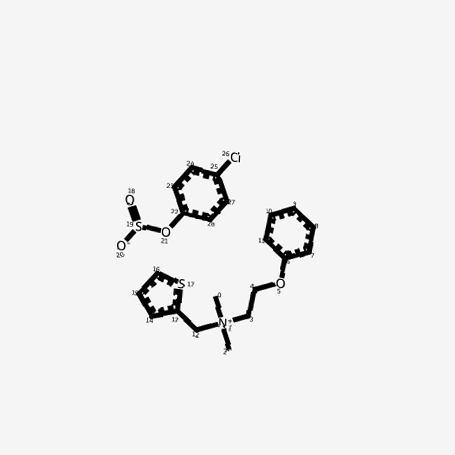 C[N+](C)(CCOc1ccccc1)Cc1cccs1.O=S([O-])Oc1ccc(Cl)cc1